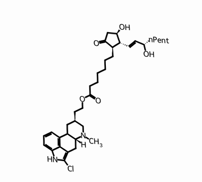 CCCCC[C@H](O)C=C[C@H]1[C@H](O)CC(=O)[C@@H]1CCCCCCC(=O)OCC[C@@H]1CC2c3cccc4[nH]c(Cl)c(c34)C[C@H]2N(C)C1